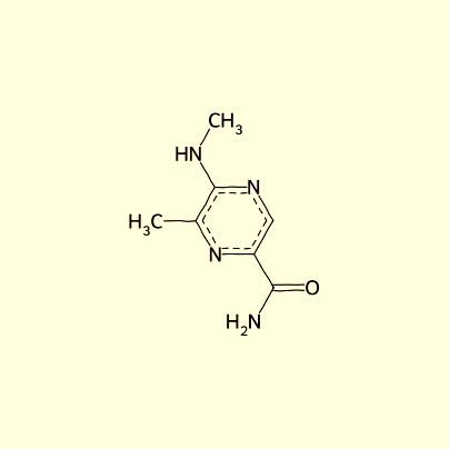 CNc1ncc(C(N)=O)nc1C